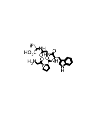 CC(C)[C@H](NC(=O)CNC(=O)[C@H](Cc1c[nH]c2ccccc12)NC(=O)[C@@H]1CCCN1C(=O)CN)C(=O)O